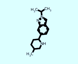 CC1CCC(c2ccc3cn(C(C)C)nc3c2)NC1